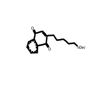 CCCCCCCCCCCCCCCC1=CC(=O)c2ccccc2C1=O